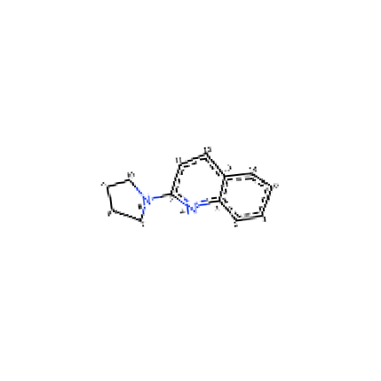 [c]1ccc2nc(N3CCCC3)ccc2c1